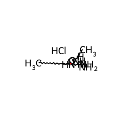 CCCCCCCCCCCCCCCCCCCC(=O)NC(CCCNC(=N)N)C(=O)NCCCCCCCC.Cl